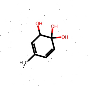 CC1=CC(O)C(O)(O)C=C1